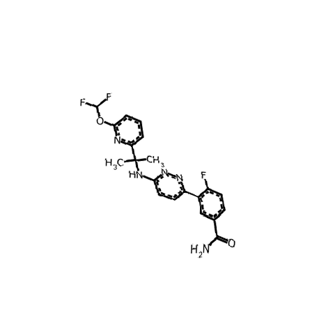 CC(C)(Nc1ccc(-c2cc(C(N)=O)ccc2F)nn1)c1cccc(OC(F)F)n1